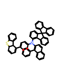 C1=CC2Sc3ccccc3C2C(c2ccc(N(c3cccc4c3-c3ccccc3C43c4ccccc4-c4ccccc43)c3ccc4ccccc4c3-c3ccccc3)cc2)=C1